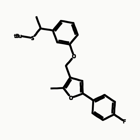 Cc1oc(-c2ccc(F)cc2)cc1COc1cccc(C(C)SC(C)(C)C)c1